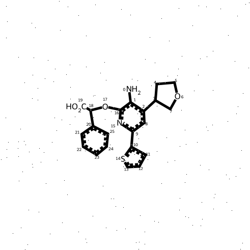 Nc1c(C2CCOC2)cc(-c2cccs2)nc1OC(C(=O)O)c1ccccc1